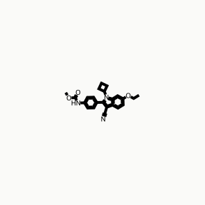 CCOc1ccc2c(C#N)c(-c3ccc(NC(=O)OC)cc3)n(C3CCC3)c2c1